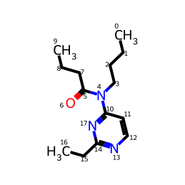 CCCCN(C(=O)CCC)c1ccnc(CC)n1